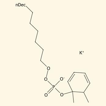 CCCCCCCCCCCCCCCCOOP(=O)([O-])OC1(C)C=CC=CC1C.[K+]